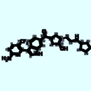 Nc1ncc(C(F)(F)F)c(-c2c[nH]c3cc(C(=O)N4C[C@H](CCNC5CCCC5)[C@@H](O)C4)ccc23)n1